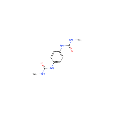 CC(C)(C)NC(=O)Nc1ccc(NC(=O)NC(C)(C)C)cc1